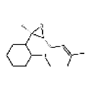 COC1CCCCC1[C@@]1(C)O[C@@H]1CC=C(C)C